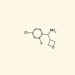 NC(c1ccc(Cl)cc1F)C1COC1